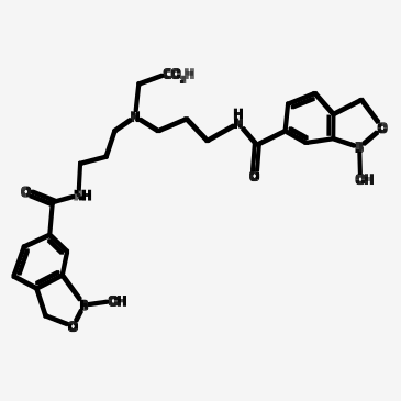 O=C(O)CN(CCCNC(=O)c1ccc2c(c1)B(O)OC2)CCCNC(=O)c1ccc2c(c1)B(O)OC2